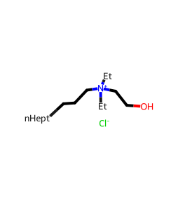 CCCCCCCCCC[N+](CC)(CC)CCO.[Cl-]